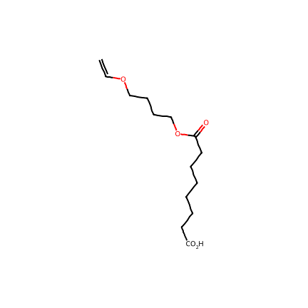 C=COCCCCOC(=O)CCCCCCC(=O)O